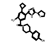 Cc1cc(C2CCC2)c(-c2nnc([C@H]3CCCO3)[nH]2)cc1C(=O)N1CCC(c2ccc(C#N)cc2)CC1